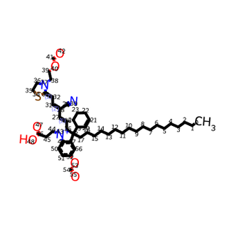 CCCCCCCCCCCCCCCCCCC1(C2C=CCCC2)C(/C=C/C(C#N)=C/C=C2\SCCN2CCOC=O)=[N+](CCC(=O)O)c2ccc(OC=O)cc21